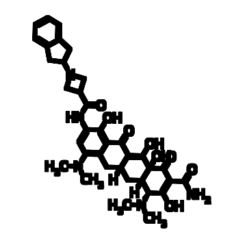 CN(C)c1cc(NC(=O)C2CN(C3Cc4ccccc4C3)C2)c(O)c2c1C[C@H]1C[C@H]3[C@H](N(C)C)C(O)=C(C(N)=O)C(=O)[C@@]3(O)C(O)=C1C2=O